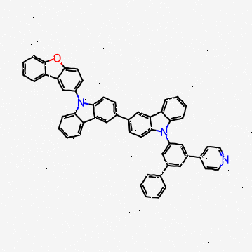 c1ccc(-c2cc(-c3ccncc3)cc(-n3c4ccccc4c4cc(-c5ccc6c(c5)c5ccccc5n6-c5ccc6oc7ccccc7c6c5)ccc43)c2)cc1